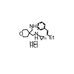 CCC(=Cc1ccccc1)[C@@H]1CC1NCC1(CN)CCOCC1.Cl.Cl